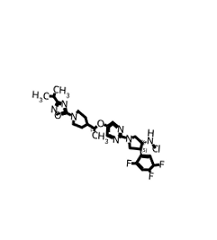 CC(C)c1noc(N2CCC([C@H](C)Oc3cnc(N4C[C@H](NCl)[C@@H](C5=CC(F)C(F)C=C5F)C4)nc3)CC2)n1